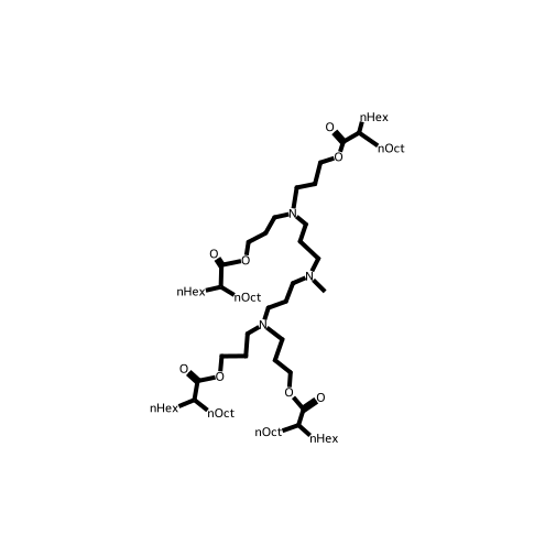 CCCCCCCCC(CCCCCC)C(=O)OCCCN(CCCOC(=O)C(CCCCCC)CCCCCCCC)CCCN(C)CCCN(CCCOC(=O)C(CCCCCC)CCCCCCCC)CCCOC(=O)C(CCCCCC)CCCCCCCC